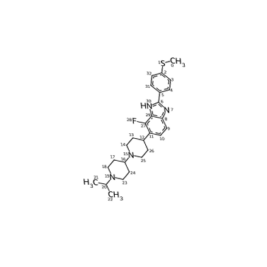 CSc1ccc(-c2nc3ccc(C4CCN(C5CCN(C(C)C)CC5)CC4)c(F)c3[nH]2)cc1